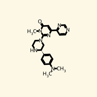 CN(C)c1ccc([C@H]2CN(c3nc(-c4ccncn4)cc(=O)n3C)CCN2)cc1